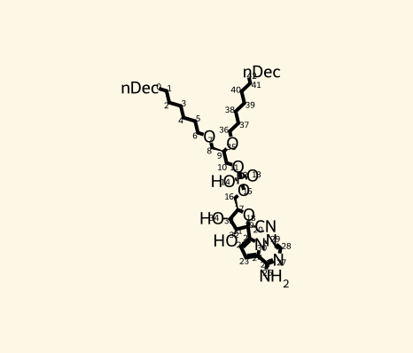 CCCCCCCCCCCCCCCCOC[C@H](COP(=O)(O)OC[C@H]1O[C@@](C#N)(c2ccc3c(N)ncnn23)[C@H](O)[C@@H]1O)OCCCCCCCCCCCCCCCC